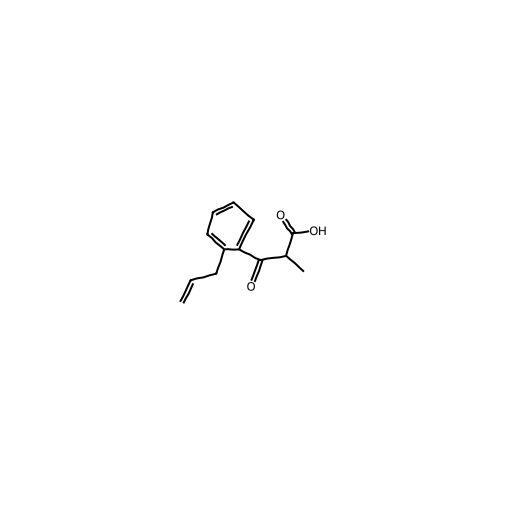 C=CCc1ccccc1C(=O)C(C)C(=O)O